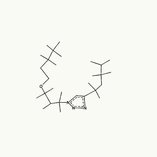 CC(C)C(C)(C)CC(C)(C)c1cn(C(C)(C)C(C)C(C)(C)OCCC(C)(C)C(C)(C)C)nn1